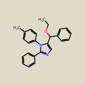 CCOC(c1ccccc1)c1cnc(-c2ccccc2)n1-c1ccc(C)cc1